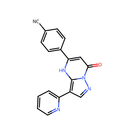 N#Cc1ccc(-c2cc(=O)n3ncc(-c4ccccn4)c3[nH]2)cc1